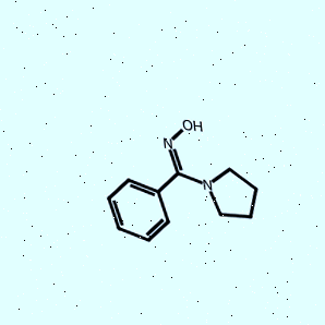 ON=C(c1ccccc1)N1CCCC1